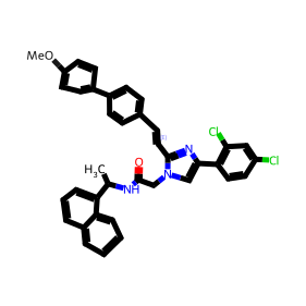 COc1ccc(-c2ccc(/C=C/c3nc(-c4ccc(Cl)cc4Cl)cn3CC(=O)NC(C)c3cccc4ccccc34)cc2)cc1